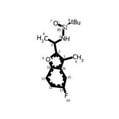 Cc1c(C(C)N[S@@+]([O-])C(C)(C)C)oc2ccc(F)cc12